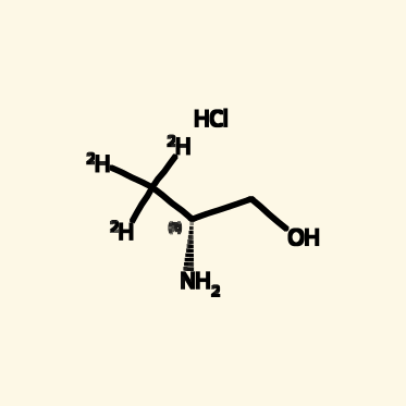 Cl.[2H]C([2H])([2H])[C@@H](N)CO